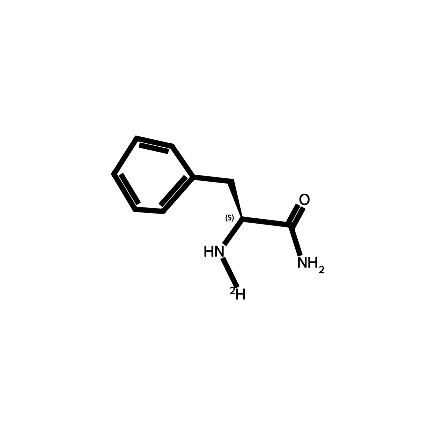 [2H]N[C@@H](Cc1ccccc1)C(N)=O